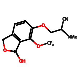 CNC(C#N)COc1ccc2c(c1OC(F)(F)F)B(O)OC2